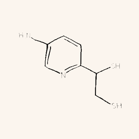 Nc1ccc(C(S)CS)nc1